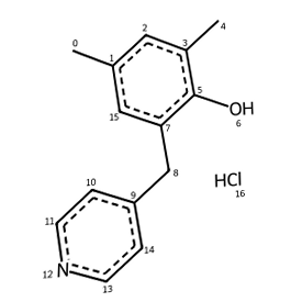 Cc1cc(C)c(O)c(Cc2ccncc2)c1.Cl